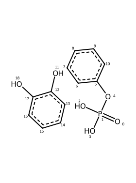 O=P(O)(O)Oc1ccccc1.Oc1ccccc1O